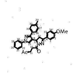 COc1ccc(C2=NN(C(=O)CCC(C)=O)C(c3cn(-c4ccccc4)nc3-c3ccc(C)cc3)C2)cc1